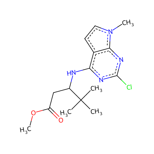 COC(=O)CC(Nc1nc(Cl)nc2c1ccn2C)C(C)(C)C